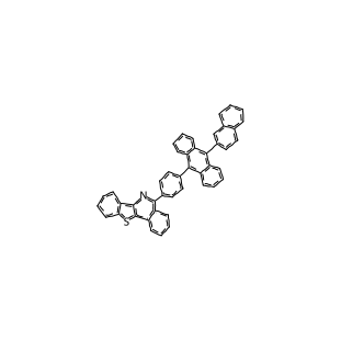 c1ccc2cc(-c3c4ccccc4c(-c4ccc(-c5nc6c7ccccc7sc6c6ccccc56)cc4)c4ccccc34)ccc2c1